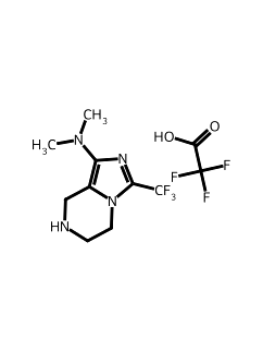 CN(C)c1nc(C(F)(F)F)n2c1CNCC2.O=C(O)C(F)(F)F